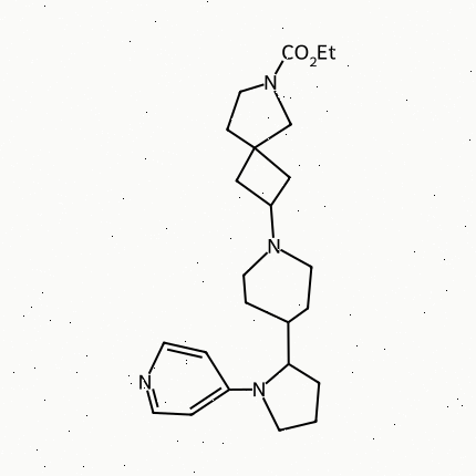 CCOC(=O)N1CCC2(CC(N3CCC(C4CCCN4c4ccncc4)CC3)C2)C1